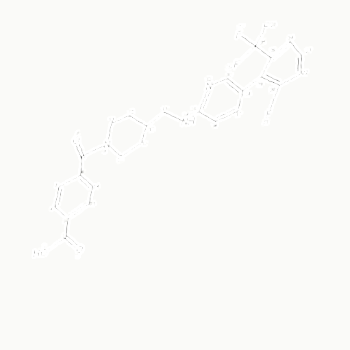 O=C(O)c1ccc(C(=O)N2CCC(CNc3ccc(-c4c(F)cccc4C(F)(F)F)cn3)CC2)cc1